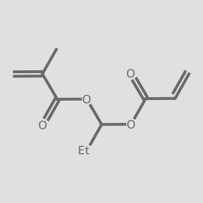 C=CC(=O)OC(CC)OC(=O)C(=C)C